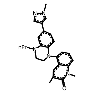 CCCN1CCN(c2cccc3c2cc(C)c(=O)n3C)c2ccc(-c3cnn(C)c3)cc21